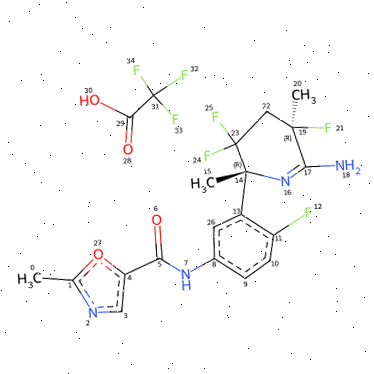 Cc1ncc(C(=O)Nc2ccc(F)c([C@@]3(C)N=C(N)[C@](C)(F)CC3(F)F)c2)o1.O=C(O)C(F)(F)F